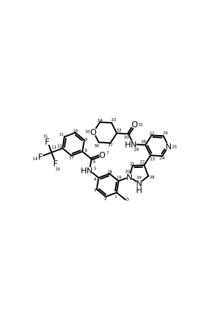 Cc1ccc(NC(=O)c2cccc(C(F)(F)F)c2)cc1N1C=C(c2cnccc2NC(=O)C2CCOCC2)CN1